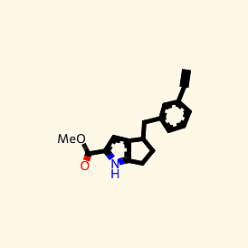 C#Cc1cccc(CC2CCc3[nH]c(C(=O)OC)cc32)c1